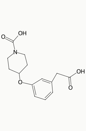 O=C(O)Cc1cccc(OC2CCN(C(=O)O)CC2)c1